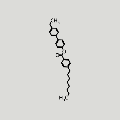 CCCCCCCCc1ccc(C(=O)Oc2ccc(-c3ccc(CC)cc3)cc2)cc1